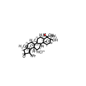 CC(C)C1=C2[C@H]3CC[C@@H]4[C@@]5(C)CC[C@](N)(O)C(C)(C)[C@@H]5CC[C@@]4(C)[C@]3(C)CC[C@@]2(C)CC1=O.Cl